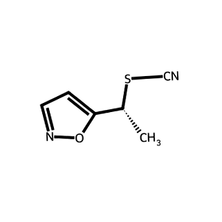 C[C@@H](SC#N)c1ccno1